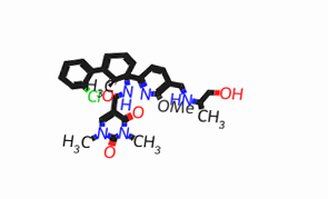 COc1nc(C2(NC(=O)c3cn(C)c(=O)n(C)c3=O)C=CC=C(c3ccccc3Cl)[C@@H]2C)ccc1CNC(C)CO